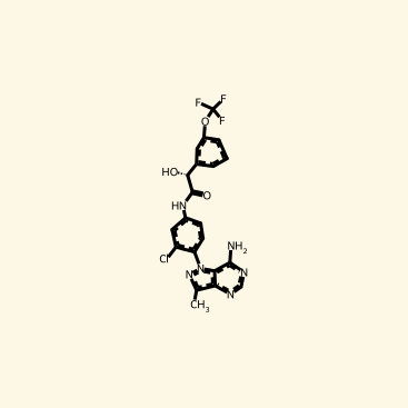 Cc1nn(-c2ccc(NC(=O)[C@H](O)c3cccc(OC(F)(F)F)c3)cc2Cl)c2c(N)ncnc12